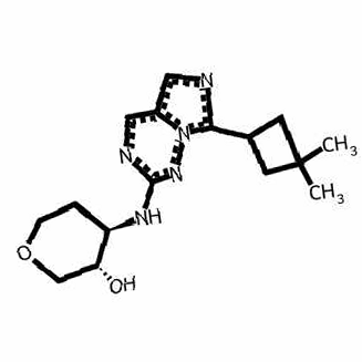 CC1(C)CC(c2ncc3cnc(N[C@@H]4CCOC[C@H]4O)nn23)C1